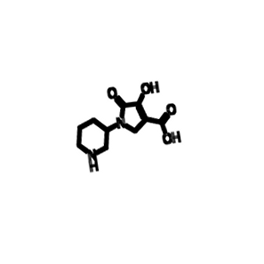 O=C(O)C1=C(O)C(=O)N(C2CCCNC2)C1